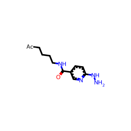 CC(=O)CCCCNC(=O)c1ccc(NN)nc1